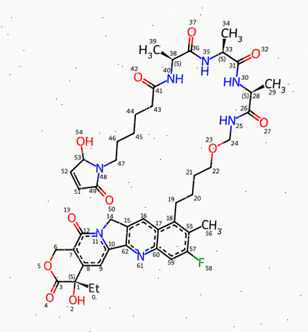 CC[C@@]1(O)C(=O)OCc2c1cc1n(c2=O)Cc2cc3c(CCCCOCNC(=O)[C@H](C)NC(=O)[C@H](C)NC(=O)[C@H](C)NC(=O)CCCCCN4C(=O)C=CC4O)c(C)c(F)cc3nc2-1